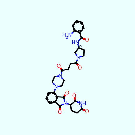 Nc1ccccc1C(=O)N[C@H]1CCN(C(=O)CCC(=O)N2CCN(c3cccc4c3C(=O)N(C3CCC(=O)NC3=O)C4=O)CC2)C1